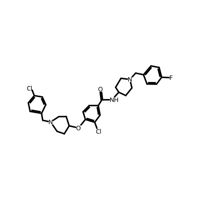 O=C(NC1CCN(Cc2ccc(F)cc2)CC1)c1ccc(OC2CCN(Cc3ccc(Cl)cc3)CC2)c(Cl)c1